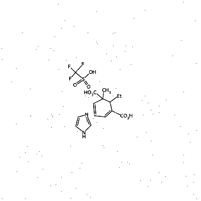 CCC1C(C(=O)O)=CC=CC1(C)C(=O)O.O=S(=O)(O)C(F)(F)F.c1c[nH]cn1